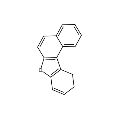 C1=Cc2oc3ccc4ccccc4c3c2CC1